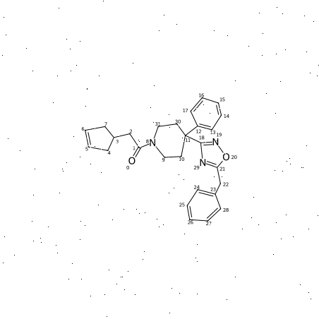 O=C(CC1CC=CC1)N1CCC(c2ccccc2)(c2noc(Cc3ccccc3)n2)CC1